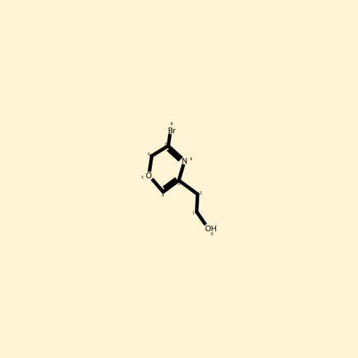 OCCC1=COCC(Br)=N1